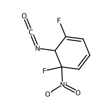 O=C=NC1C(F)=CC=CC1(F)[N+](=O)[O-]